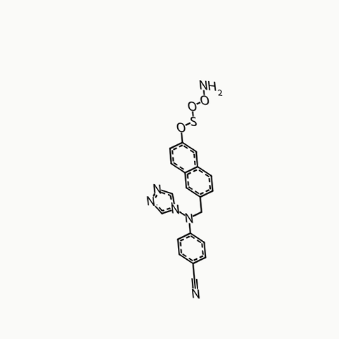 N#Cc1ccc(N(Cc2ccc3cc(OSOON)ccc3c2)n2cnnc2)cc1